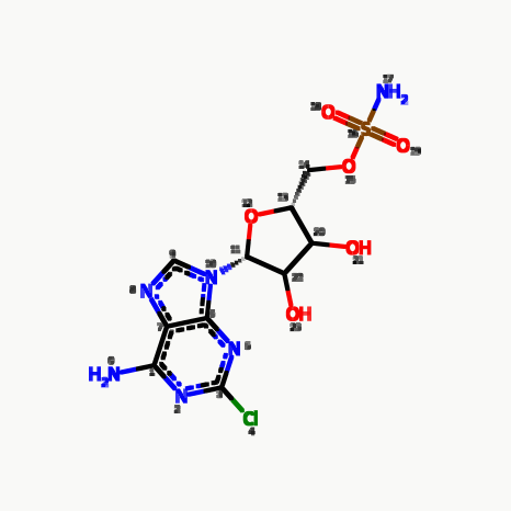 Nc1nc(Cl)nc2c1ncn2[C@@H]1O[C@H](COS(N)(=O)=O)C(O)C1O